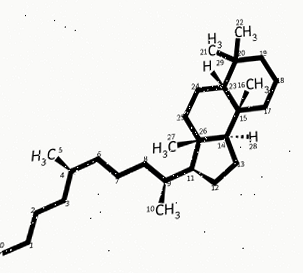 CC(C)CCC[C@@H](C)CCC[C@H](C)[C@@H]1CC[C@@H]2[C@@]3(C)CCCC(C)(C)[C@H]3CC[C@]21C